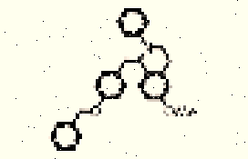 COc1ccc2c(c1)CCN(c1ccccc1)C2Cc1ccc(OCc2ccccc2)cc1